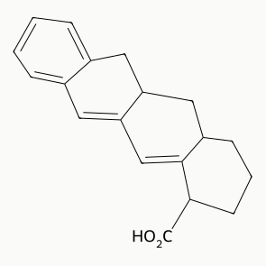 O=C(O)C1CCCC2CC3Cc4ccccc4C=C3C=C21